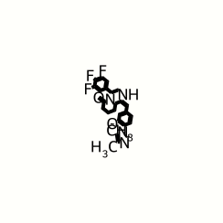 COc1cc(/C=C2/NCC(c3cc(F)c(F)c(F)c3)N3C(=O)CCCC23)ccc1-n1cnc(C)c1